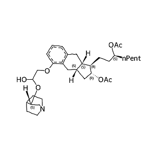 CCCCC[C@@H](CC[C@@H]1[C@H]2Cc3cccc(OCC(O)O[C@@H]4CN5CCC4CC5)c3C[C@H]2C[C@H]1OC(C)=O)OC(C)=O